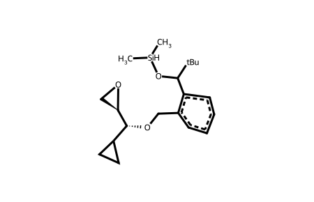 C[SiH](C)OC(c1ccccc1CO[C@H](C1CC1)[C@H]1CO1)C(C)(C)C